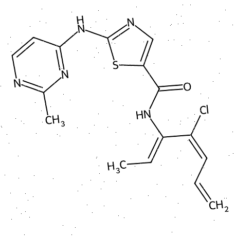 C=C/C=C(Cl)\C(=C\C)NC(=O)c1cnc(Nc2ccnc(C)n2)s1